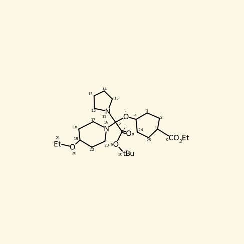 CCOC(=O)C1CCC(OC(C(=O)OC(C)(C)C)(N2CCCC2)N2CCC(OCC)CC2)CC1